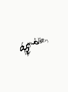 CS(=O)(=O)Nc1ccc(CNC(=O)/C=C\c2ccc(C(F)(F)F)nc2-c2cccc(F)c2)cc1F